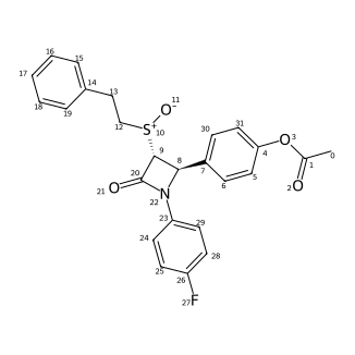 CC(=O)Oc1ccc([C@@H]2[C@@H]([S+]([O-])CCc3ccccc3)C(=O)N2c2ccc(F)cc2)cc1